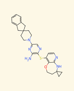 Nc1nc(N2CCC3(CC2)Cc2ccccc2C3)cnc1Sc1ccnc2c1OCCC1(CC1)N2